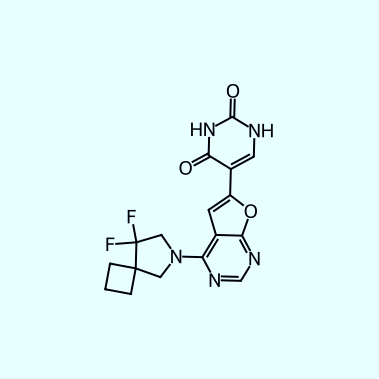 O=c1[nH]cc(-c2cc3c(N4CC(F)(F)C5(CCC5)C4)ncnc3o2)c(=O)[nH]1